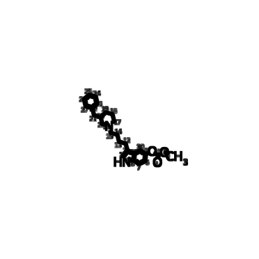 COC(=O)Oc1ccc2[nH]cc(CCCCN3CCCC(Cc4ccccc4)C3)c2c1